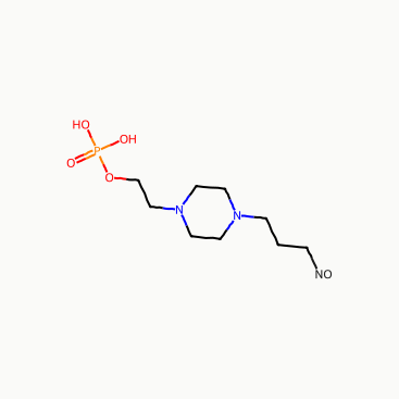 O=NCCCN1CCN(CCOP(=O)(O)O)CC1